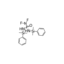 C[Si](C)(NP(=O)(N[Si](C)(C)c1ccccc1)N(F)F)c1ccccc1